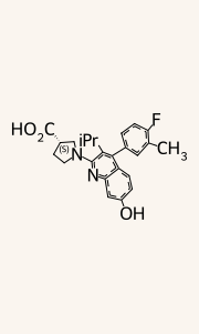 Cc1cc(-c2c(C(C)C)c(N3CC[C@H](C(=O)O)C3)nc3cc(O)ccc23)ccc1F